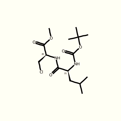 COC(=O)[C@H](CCl)NC(=O)[C@H](CC(C)C)NC(=O)OC(C)(C)C